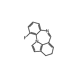 Fc1cccc2c1-n1ccc3c1C(=CCC3)C=N2